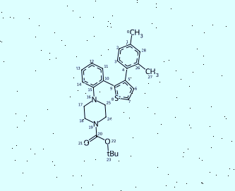 Cc1ccc(-c2ccsc2-c2ccccc2N2CCN(C(=O)OC(C)(C)C)CC2)c(C)c1